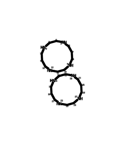 C1CNCCNCCCNCCNC1.C1CNCCNCCCNCCNC1